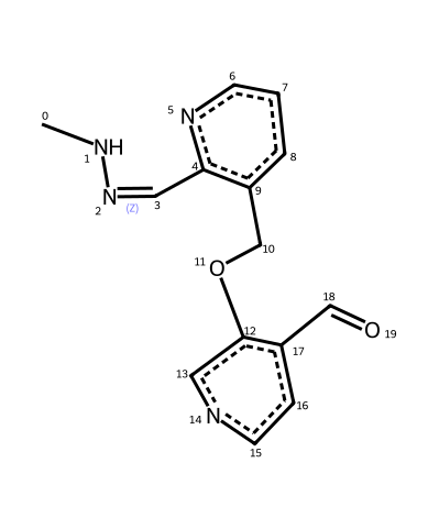 CN/N=C\c1ncccc1COc1cnccc1C=O